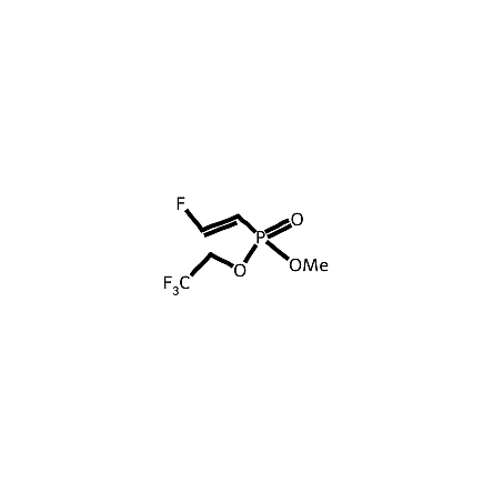 COP(=O)(C=CF)OCC(F)(F)F